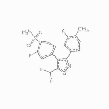 Cc1ccc(-c2noc(C(F)F)c2-c2ccc(S(C)(=O)=O)c(F)c2)cc1F